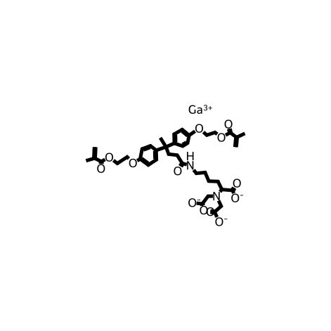 C=C(C)C(=O)OCCOc1ccc(C(C)(CCC(=O)NCCCCC(C(=O)[O-])N(CC(=O)[O-])CC(=O)[O-])c2ccc(OCCOC(=O)C(=C)C)cc2)cc1.[Ga+3]